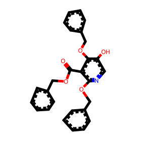 O=C(OCc1ccccc1)c1c(OCc2ccccc2)ncc(O)c1OCc1ccccc1